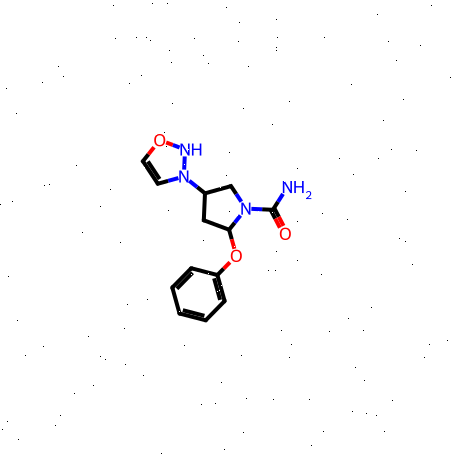 NC(=O)N1CC(N2C=CON2)CC1Oc1ccccc1